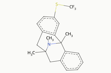 CN1C2(C)Cc3ccccc3C1(C)c1cc(SC(F)(F)F)ccc1C2